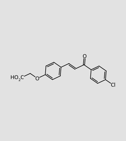 O=C(O)COc1ccc(C=CC(=O)c2ccc(Cl)cc2)cc1